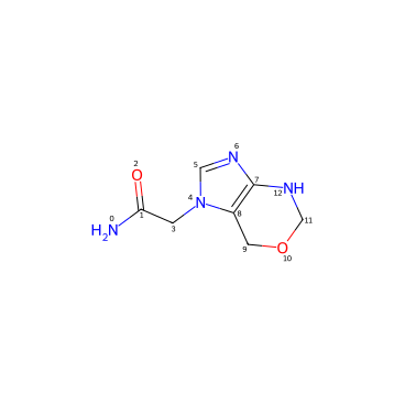 NC(=O)Cn1cnc2c1COCN2